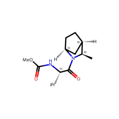 COC(=O)N[C@H](C(=O)N1[C@H]2CC[C@H](C2)[C@H]1C)C(C)C